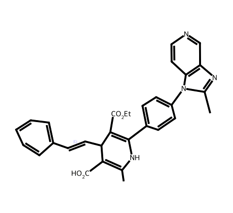 CCOC(=O)C1=C(c2ccc(-n3c(C)nc4cnccc43)cc2)NC(C)=C(C(=O)O)C1/C=C/c1ccccc1